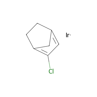 ClC1=C2CCC(=C1)C2.[Ir]